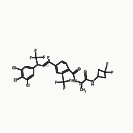 C[C@@H](NC(=O)c1ccc(/C(F)=C/C(c2cc(Cl)c(Cl)c(Cl)c2)C(F)(F)F)cc1C(F)(F)F)C(=O)NC1CC(F)(F)C1